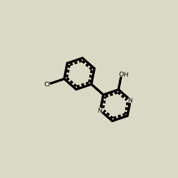 Oc1nccnc1-c1cccc(Cl)c1